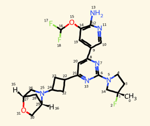 C[C@]1(F)CCN(c2nc(-c3cnc(N)c(OC(F)F)c3)cc(C3CC(N4C[C@@H]5C[C@H]4CO5)C3)n2)C1